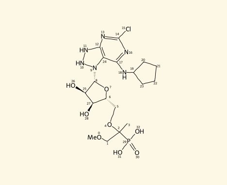 COCC(C)(OC[C@H]1O[C@@H](N2NNc3nc(Cl)nc(NC4CCCC4)c32)[C@H](O)[C@@H]1O)P(=O)(O)O